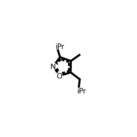 Cc1c(C(C)C)noc1CC(C)C